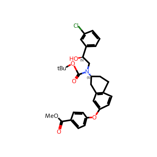 COC(=O)c1ccc(Oc2ccc3c(c2)C[C@@H](N(C[C@@H](O)c2cccc(Cl)c2)C(=O)OC(C)(C)C)CC3)cc1